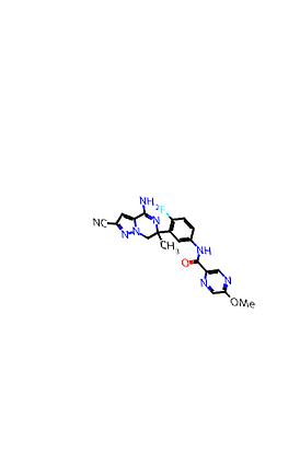 COc1cnc(C(=O)Nc2ccc(F)c(C3(C)Cn4nc(C#N)cc4C(N)=N3)c2)cn1